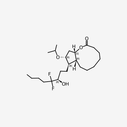 CCCCC(F)(F)[C@H](O)CC[C@@H]1[C@H]2CCCCCCC(=O)O[C@H]2C[C@H]1OC(C)C